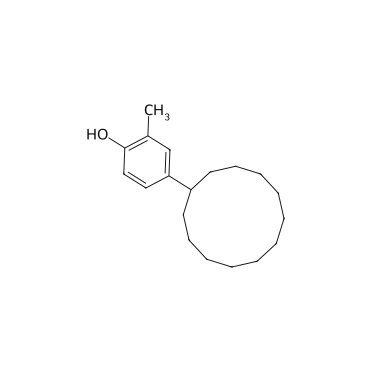 Cc1cc(C2CCCCCCCCCCC2)ccc1O